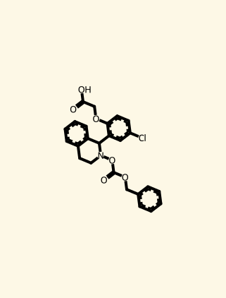 O=C(O)COc1ccc(Cl)cc1C1c2ccccc2CCN1OC(=O)OCc1ccccc1